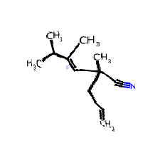 C=CCC(C)(C#N)/C=C(\C)C(C)C